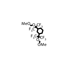 COCOC(C1CCCC(C(OCOC)(C(F)(F)F)C(F)(F)F)C1)(C(F)(F)F)C(F)(F)F